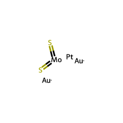 [Au].[Au].[Pt].[S]=[Mo]=[S]